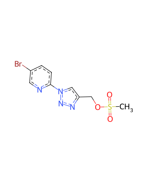 CS(=O)(=O)OCc1cn(-c2ccc(Br)cn2)nn1